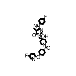 O=c1c2cnn(-c3ccc(F)cc3)c2ncn1CC1(O)CCN(C(=O)[C@H]2CC[C@@H](Oc3ccc(F)cn3)CC2)CC1